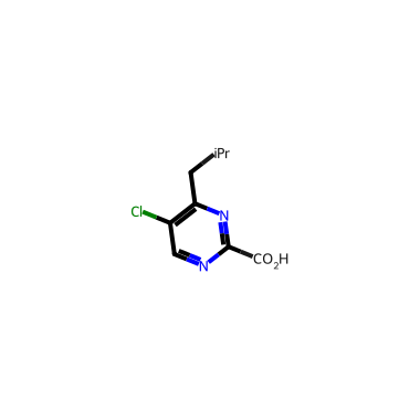 CC(C)Cc1nc(C(=O)O)ncc1Cl